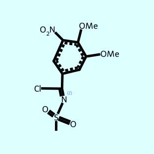 COc1cc(/C(Cl)=N/S(C)(=O)=O)cc([N+](=O)[O-])c1OC